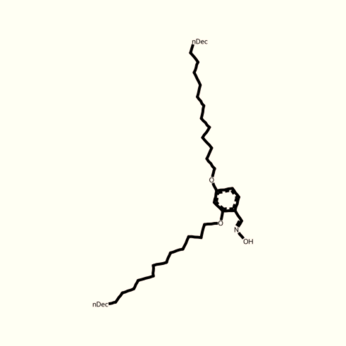 CCCCCCCCCCCCCCCCCCCCCCOc1ccc(C=NO)c(OCCCCCCCCCCCCCCCCCCCCCC)c1